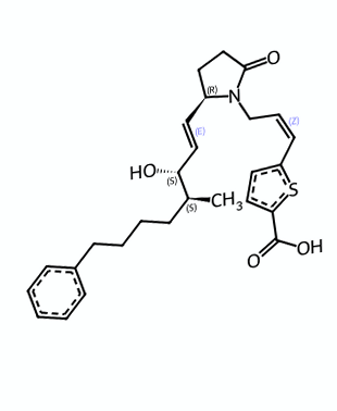 C[C@@H](CCCCc1ccccc1)[C@H](O)/C=C/[C@H]1CCC(=O)N1C/C=C\c1ccc(C(=O)O)s1